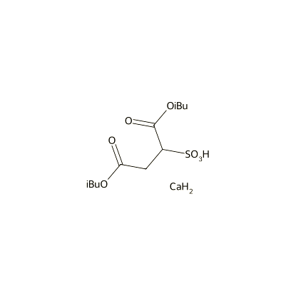 CC(C)COC(=O)CC(C(=O)OCC(C)C)S(=O)(=O)O.[CaH2]